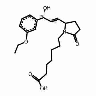 CCOc1cccc([C@H](O)/C=C/C2CCC(=O)N2CCCCCCC(=O)O)c1